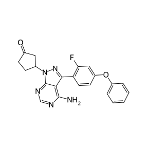 Nc1ncnc2c1c(-c1ccc(Oc3ccccc3)cc1F)nn2C1CCC(=O)C1